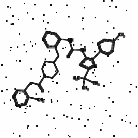 Cc1ccc(-n2nc(C(C)(C)C)cc2NC(=O)Nc2ccccc2CC2CCN(C(=O)Cc3ccccc3C)CC2)cc1